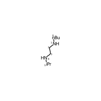 [CH2]CCCNCCNC(C)C